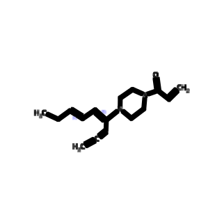 C=C=C/C(=C\C=C\CC)N1CCN(C(=O)C=C)CC1